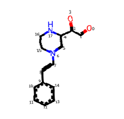 O=CC(=O)C1CN(C=Cc2ccccc2)CCN1